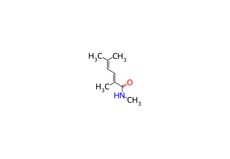 CNC(=O)/C(C)=C/C=C(C)C